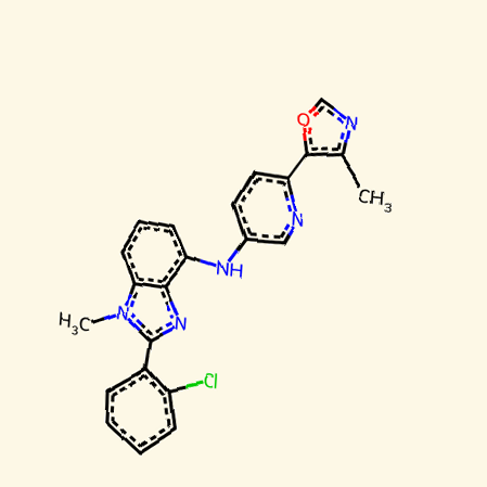 Cc1ncoc1-c1ccc(Nc2cccc3c2nc(-c2ccccc2Cl)n3C)cn1